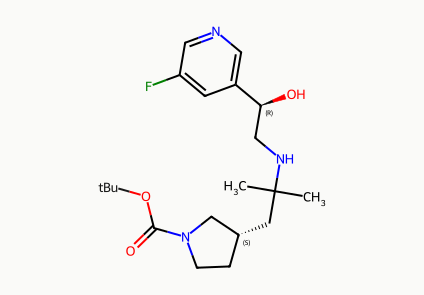 CC(C)(C[C@@H]1CCN(C(=O)OC(C)(C)C)C1)NC[C@H](O)c1cncc(F)c1